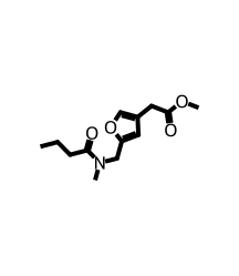 CCCC(=O)N(C)Cc1cc(CC(=O)OC)co1